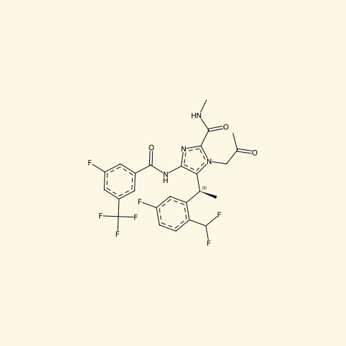 CNC(=O)c1nc(NC(=O)c2cc(F)cc(C(F)(F)F)c2)c([C@@H](C)c2cc(F)ccc2C(F)F)n1CC(C)=O